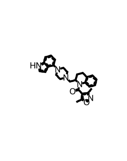 Cc1noc(C)c1C(=O)N1c2ccccc2CCC1CN1CCN(c2cccc3[nH]ccc23)CC1